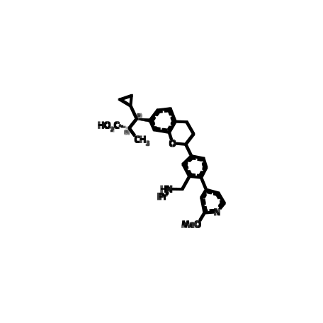 COc1cc(-c2ccc(C3CCc4ccc([C@H](C5CC5)[C@H](C)C(=O)O)cc4O3)cc2CNC(C)C)ccn1